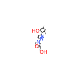 Cc1cc(C)c(-c2ccc(N3CCO[C@@H](CCO)C3)nn2)c(O)c1